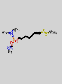 CCCCCCSSCCCCCCOP(O/C=N/CC)N(C(C)C)C(C)C